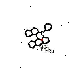 Cl.Cl.[Ru].c1ccc(P(c2ccccc2)c2ccc3ccccc3c2-c2cccc3ccccc23)cc1